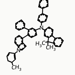 CC1C=C(n2ccc3c(-c4ccc(N(c5ccc(-c6ccccc6)cc5)c5ccc6c(c5)C(C)(C)c5ccccc5-6)cc4-c4ccccc4)cccc32)C=CC1